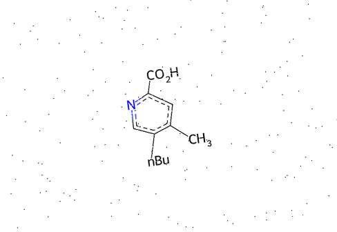 CCCCc1cnc(C(=O)O)cc1C